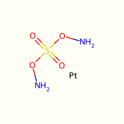 NOS(=O)(=O)ON.[Pt]